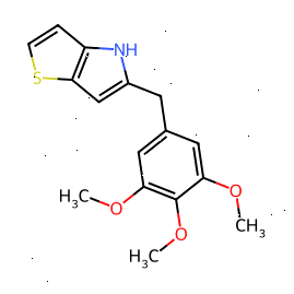 COc1cc(Cc2cc3sccc3[nH]2)cc(OC)c1OC